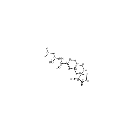 CC(C)C[C@H](O)NC(=O)c1ccc2c(c1)CC1(CCNC1=O)CC2